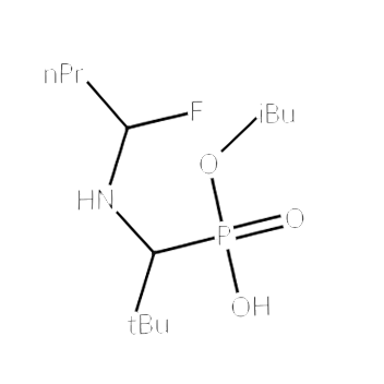 CCCC(F)NC(C(C)(C)C)P(=O)(O)OC(C)CC